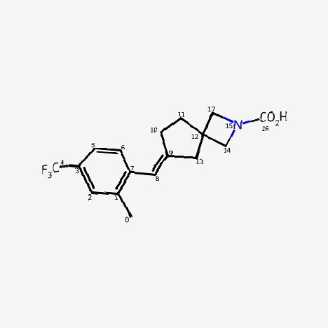 Cc1cc(C(F)(F)F)ccc1C=C1CCC2(C1)CN(C(=O)O)C2